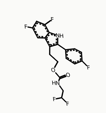 O=C(NCC(F)F)OCCc1c(-c2ccc(F)cc2)[nH]c2c(F)cc(F)cc12